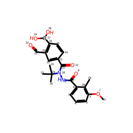 COc1cccc(C(=O)NN(C(=O)c2ccc(B(O)O)c(C=O)c2)C(C)(C)C)c1C